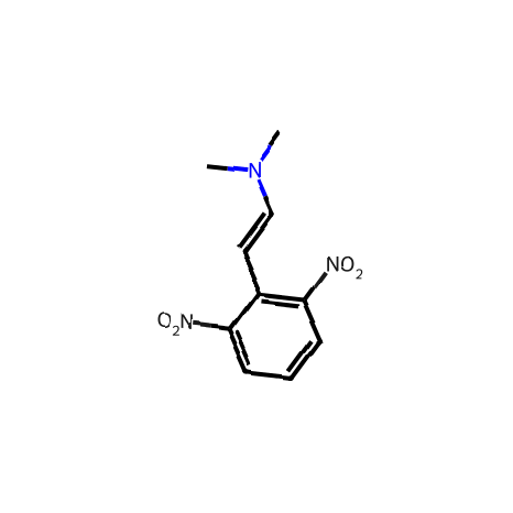 CN(C)/C=C/c1c([N+](=O)[O-])cccc1[N+](=O)[O-]